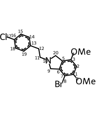 COc1cc(OC)c2c(c1Br)CN(CCc1ccc(Cl)cc1)C2